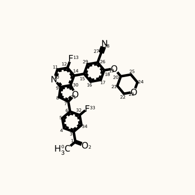 CC(=O)c1ccc(-c2cc3ncc(F)c(-c4ccc(OC5CCOCC5)c(C#N)c4)c3o2)c(F)c1